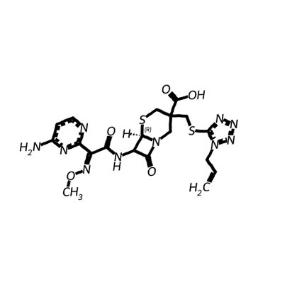 C=CCn1nnnc1SCC1(C(=O)O)CS[C@@H]2C(NC(=O)C(=NOC)c3nccc(N)n3)C(=O)N2C1